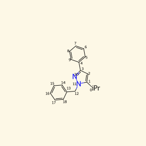 CC(C)c1cc(-c2ccccc2)nn1Cc1ccccc1